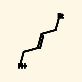 CCCC=CC[PH]